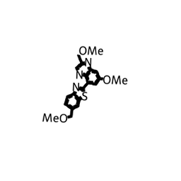 COCc1ccc2nc(-c3cc(OC)cc4nc(COC)cnc34)sc2c1